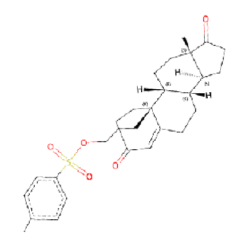 Cc1ccc(S(=O)(=O)OCCC[C@]23CCC(=O)C=C2CC[C@@H]2[C@H]3CC[C@]3(C)C(=O)CC[C@@H]23)cc1